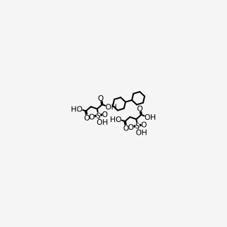 C1CCC(C2CCCCC2)CC1.O=C(O)CC(C(=O)O)S(=O)(=O)O.O=C(O)CC(C(=O)O)S(=O)(=O)O